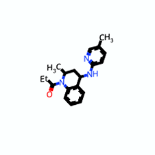 CCC(=O)N1c2ccccc2C(Nc2ccc(C)cn2)CC1C